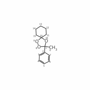 CC1(c2ccccc2)OOC2(CCCCC2)O1